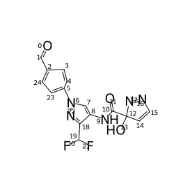 O=Cc1ccc(-n2cc(NC(=O)C3(O)C=CN=N3)c(C(F)F)n2)cc1